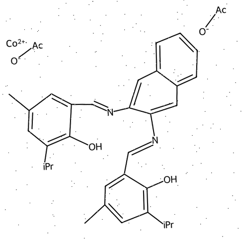 CC(=O)[O-].CC(=O)[O-].Cc1cc(C=Nc2cc3ccccc3cc2N=Cc2cc(C)cc(C(C)C)c2O)c(O)c(C(C)C)c1.[Co+2]